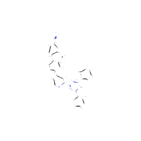 CC1(C)c2cc(C#N)ccc2-c2ccc(-c3ccnc(-c4nc(-c5ccccc5)nc(-c5ccccc5)n4)c3)cc21